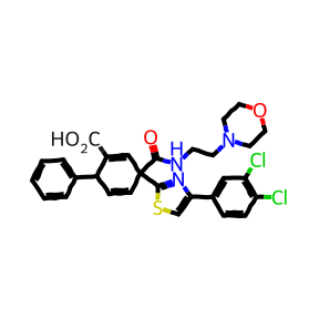 O=C(O)C1=CC(C(=O)NCCN2CCOCC2)(c2nc(-c3ccc(Cl)c(Cl)c3)cs2)C=CC1c1ccccc1